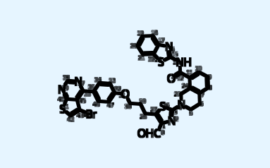 O=Cc1nc(N2CCc3cccc(C(=O)Nc4nc5ccccc5s4)c3C2)sc1CCCOc1ccc(-c2ncnc3scc(Br)c23)cc1